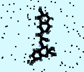 CCC1(CC)C/C(=C\C(=O)Nc2ccc3c(c2)NC(=O)CC3)c2ccc(C(F)(F)F)cc2O1